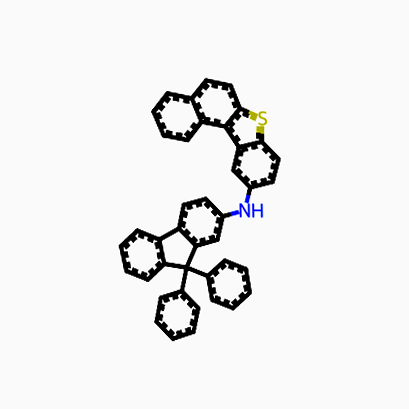 c1ccc(C2(c3ccccc3)c3ccccc3-c3ccc(Nc4ccc5sc6ccc7ccccc7c6c5c4)cc32)cc1